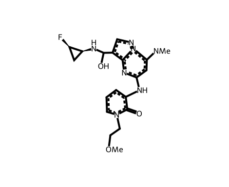 CNc1cc(Nc2cccn(CCOC)c2=O)nc2c(C(O)N[C@H]3C[C@H]3F)cnn12